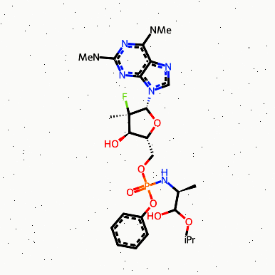 CNc1nc(NC)c2ncn([C@@H]3O[C@H](COP(=O)(N[C@@H](C)C(O)OC(C)C)Oc4ccccc4)[C@@H](O)[C@@]3(C)F)c2n1